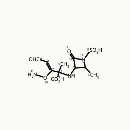 CC1C(NC(C)(C(=O)O)C(=CC=O)ON)C(=O)N1S(=O)(=O)O